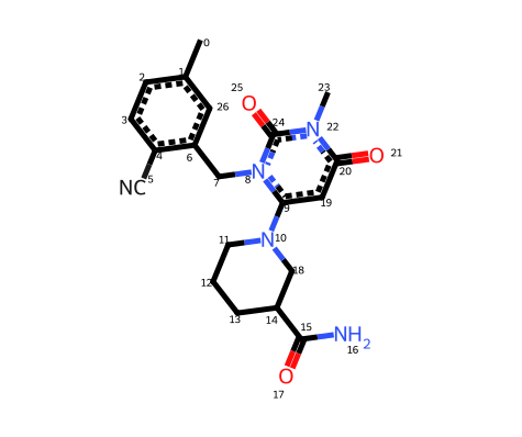 Cc1ccc(C#N)c(Cn2c(N3CCCC(C(N)=O)C3)cc(=O)n(C)c2=O)c1